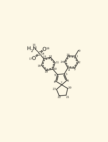 Cc1ccc(C2=CC3(C=C2c2ccc(S(N)(=O)=O)cc2)CCCC3)cc1